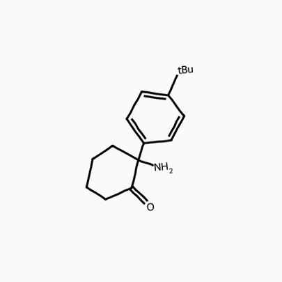 CC(C)(C)c1ccc(C2(N)CCCCC2=O)cc1